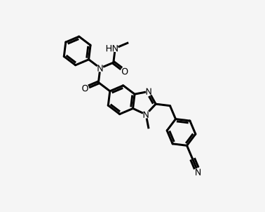 CNC(=O)N(C(=O)c1ccc2c(c1)nc(Cc1ccc(C#N)cc1)n2C)c1ccccc1